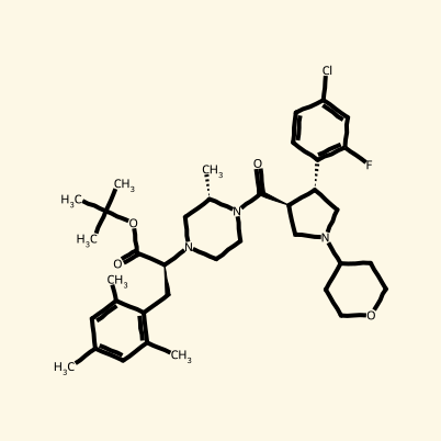 Cc1cc(C)c(C[C@@H](C(=O)OC(C)(C)C)N2CCN(C(=O)[C@@H]3CN(C4CCOCC4)C[C@H]3c3ccc(Cl)cc3F)[C@@H](C)C2)c(C)c1